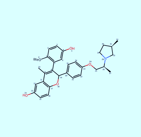 COc1ccc(O)cc1C1=C(C)c2cc(O)ccc2OC1c1ccc(OC[C@H](C)N2CC[C@@H](C)C2)cc1